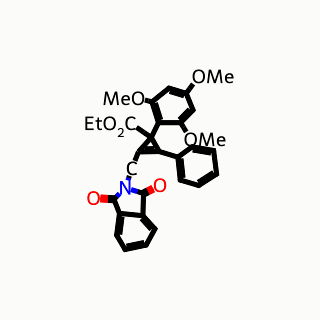 CCOC(=O)C1(c2c(OC)cc(OC)cc2OC)C(CN2C(=O)c3ccccc3C2=O)=C1c1ccccc1